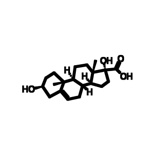 C[C@]12CC[C@H](O)CC1=CC[C@@H]1[C@@H]2CC[C@@]2(C)[C@H]1CC[C@]2(O)C(=O)O